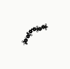 CN1C(=O)c2ccc(Oc3ccc4c(c3)C(=O)N(c3ccc(Cc5ccc(N6C(=O)c7ccc(-c8ccc9c(c8)C(=O)N(C)C9=O)cc7C6=O)cc5)cc3)C4=O)cc2C1=O